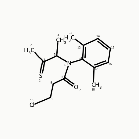 CC(=S)C(C)N(C(=O)CCCl)c1c(C)cccc1C